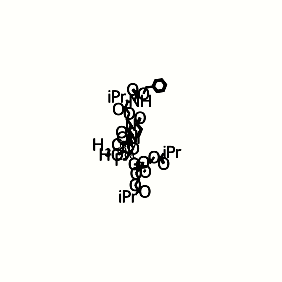 CC(C)C(=O)OCOP(=O)(OCOC(=O)C(C)C)OC[C@@]1(CF)O[C@@H](n2ccc(=O)n(COC(=O)C(NC(=O)OCc3ccccc3)C(C)C)c2=O)[C@](C)(O)[C@@H]1O